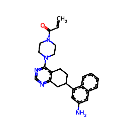 C=CC(=O)N1CCN(c2ncnc3c2CCC(c2cc(N)cc4ccccc24)C3)CC1